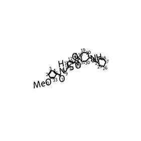 COc1cccc(C(=O)NCc2ccc(S(=O)(=O)N3CCCC(NCC4CCCCC4)CC3)s2)c1